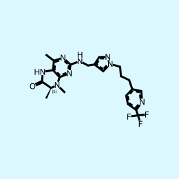 Cc1nc(NCc2cnn(CCCc3ccc(C(F)(F)F)nc3)c2)nc2c1NC(=O)[C@H](C)N2C